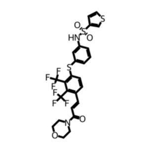 O=C(/C=C/c1ccc(Sc2cccc(NS(=O)(=O)c3ccsc3)c2)c(C(F)(F)F)c1C(F)(F)F)N1CCOCC1